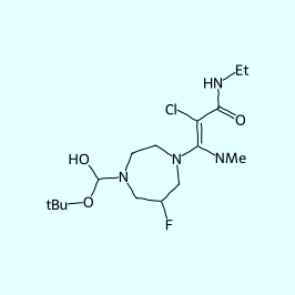 CCNC(=O)/C(Cl)=C(\NC)N1CCN(C(O)OC(C)(C)C)CC(F)C1